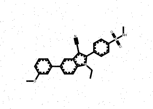 CCn1c(-c2ccc(S(=O)(=O)NC)cc2)c(C#N)c2cc(-c3cccc(OC)c3)ccc21